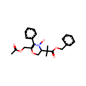 CC(=O)OCC1=C(c2ccccc2)[NH+]([O-])C(C(C)(C)C(=O)OCc2ccccc2)CO1